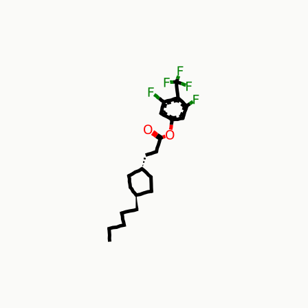 CCCCC[C@H]1CC[C@H](CCC(=O)Oc2cc(F)c(C(F)(F)F)c(F)c2)CC1